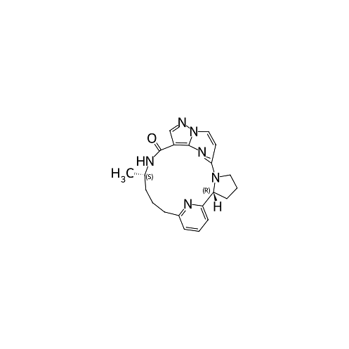 C[C@H]1CCCc2cccc(n2)[C@H]2CCCN2c2ccn3ncc(c3n2)C(=O)N1